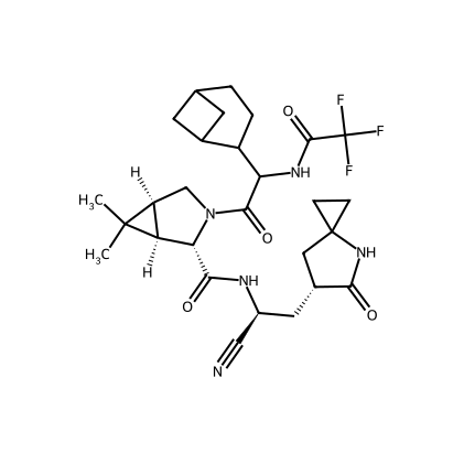 CC1(C)[C@@H]2[C@@H](C(=O)N[C@H](C#N)C[C@@H]3CC4(CC4)NC3=O)N(C(=O)C(NC(=O)C(F)(F)F)C3CCC4CC3C4)C[C@@H]21